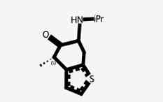 CC(C)NC1Cc2sccc2[C@H](C)C1=O